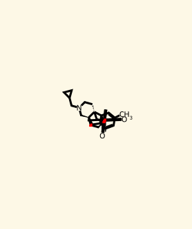 Cc1ccc2c(c1)[C@]13CCN(CC4CC4)C[C@]1(CC[C@]1(C3)NC(=O)NC1=O)C2